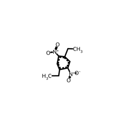 CCc1cc([N+](=O)[O-])c(CC)cc1[N+](=O)[O-]